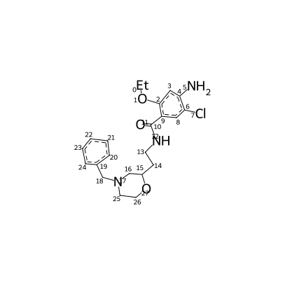 CCOc1cc(N)c(Cl)cc1C(=O)NCCC1CN(Cc2ccccc2)CCO1